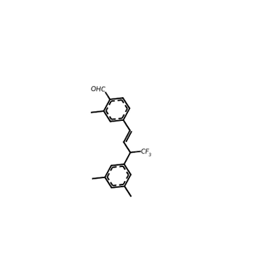 Cc1cc(C)cc(C(/C=C/c2ccc(C=O)c(C)c2)C(F)(F)F)c1